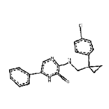 O=c1[nH]c(-c2ccccc2)cnc1NCC1(c2ccc(Cl)cc2)CC1